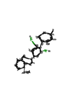 CCCCCCCc1cccc2cc(-c3cc(F)c(-c4ccc(C)cc4)c(F)c3)ccc12